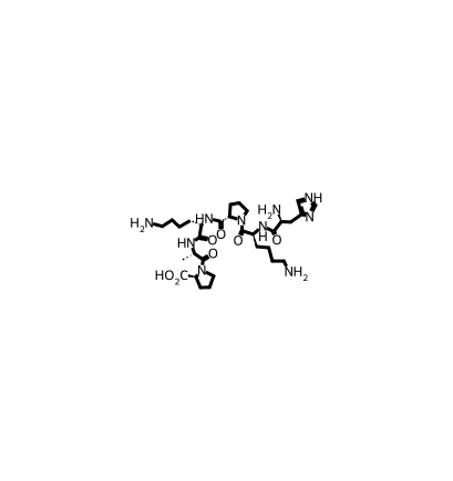 C[C@H](NC(=O)[C@H](CCCCN)NC(=O)[C@@H]1CCCN1C(=O)[C@H](CCCCN)NC(=O)[C@@H](N)Cc1c[nH]cn1)C(=O)N1CCC[C@H]1C(=O)O